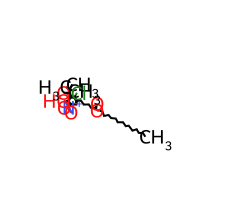 CCCCCCCCCCCCCCOC(=O)CCCCc1cc([N+](=O)[O-])c(O)c(C(=O)C(C)(C)C)c1Cl